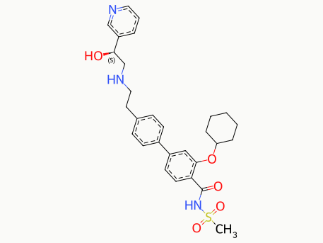 CS(=O)(=O)NC(=O)c1ccc(-c2ccc(CCNC[C@@H](O)c3cccnc3)cc2)cc1OC1CCCCC1